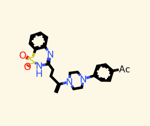 C=C(CCC1=Nc2ccccc2S(=O)(=O)N1)N1CCN(c2ccc(C(C)=O)cc2)CC1